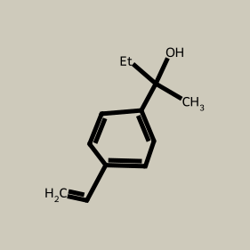 C=Cc1ccc(C(C)(O)CC)cc1